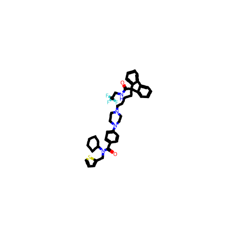 O=C(c1ccc(N2CCN(CCCCC3(C(=O)NCC(F)(F)F)c4ccccc4-c4ccccc43)CC2)cc1)N(Cc1cccs1)C1CCCCC1